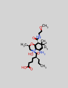 CCC[C@@H](CCCC(=O)O)C(=O)[N@+]1(O)C[C@@H](C)OC2=C1C(N)=CC(C)(C)[C@H]2C(=O)NCCOC